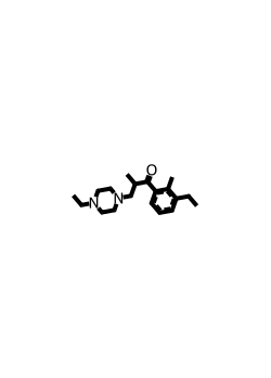 CCc1cccc(C(=O)C(C)CN2CCN(CC)CC2)c1C